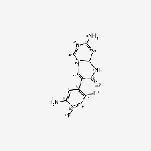 Nc1cc2[nH]c(=O)c(-c3cc(N)c(F)cc3F)cc2cn1